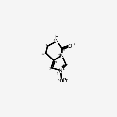 CCC[n+]1cc2n(c1)C(=O)NCC2